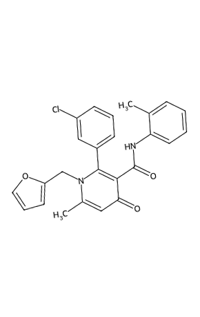 Cc1ccccc1NC(=O)c1c(-c2cccc(Cl)c2)n(Cc2ccco2)c(C)cc1=O